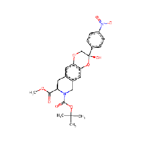 COC(=O)C1Cc2cc3c(cc2CN1C(=O)OC(C)(C)C)O[C@@](O)(c1ccc([N+](=O)[O-])cc1)CO3